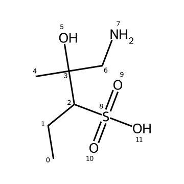 CCC(C(C)(O)CN)S(=O)(=O)O